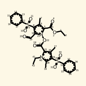 CCOC(=O)c1c(C)c(S(=O)(=O)c2ccccc2)c(C=O)n1OC(=O)c1c(C)c(S(=O)(=O)c2ccccc2)c(C)n1CC